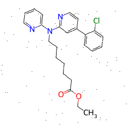 CCOC(=O)CCCCCCN(c1ccccn1)c1cc(-c2ccccc2Cl)ccn1